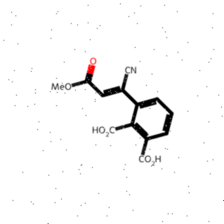 COC(=O)C=C(C#N)c1cccc(C(=O)O)c1C(=O)O